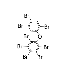 Brc1cc(Br)c(Oc2c(Br)c(Br)c(Br)c(Br)c2Br)cc1Br